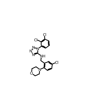 Clc1ccc(N2CCOCC2)c(CNc2nnnn2-c2cccc(Cl)c2Cl)c1